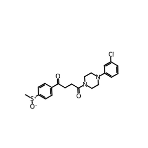 C[S+]([O-])c1ccc(C(=O)CCC(=O)N2CCN(c3cccc(Cl)c3)CC2)cc1